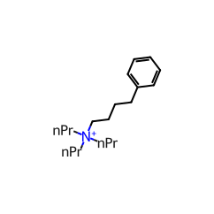 CCC[N+](CCC)(CCC)CCCCc1ccccc1